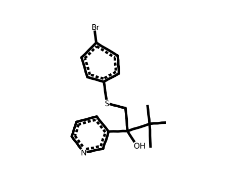 CC(C)(C)C(O)(CSc1ccc(Br)cc1)c1cccnc1